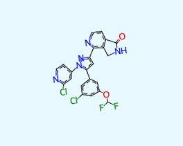 O=C1NCc2c1ccnc2-c1cc(-c2cc(Cl)cc(OC(F)F)c2)n(-c2ccnc(Cl)c2)n1